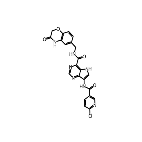 O=C1COc2ccc(CNC(=O)c3ncnc4c(NC(=O)c5ccc(Cl)nc5)c[nH]c34)cc2N1